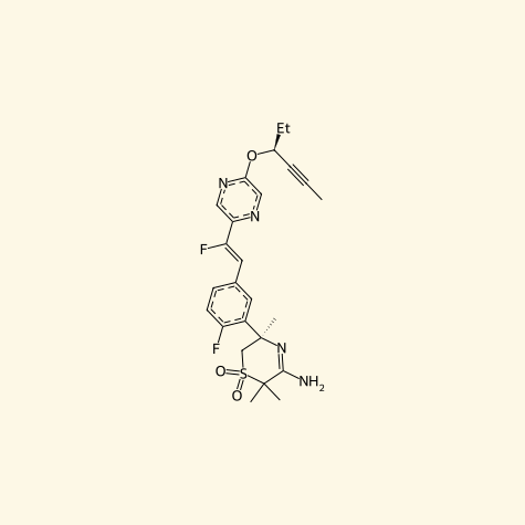 CC#C[C@H](CC)Oc1cnc(/C(F)=C/c2ccc(F)c([C@]3(C)CS(=O)(=O)C(C)(C)C(N)=N3)c2)cn1